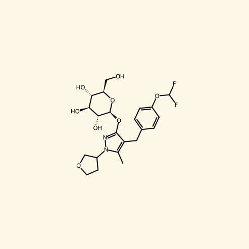 Cc1c(Cc2ccc(OC(F)F)cc2)c(O[C@@H]2O[C@H](CO)[C@@H](O)[C@H](O)[C@H]2O)nn1C1CCOC1